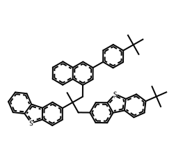 CC(C)(C)c1ccc(-c2cc(CC(C)(Cc3ccc4c(c3)sc3cc(C(C)(C)C)ccc34)c3ccc4sc5ccccc5c4c3)c3ccccc3c2)cc1